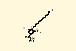 C#CCCCCCCCCCOc1c(C)cc(C(=N)NO)cc1C